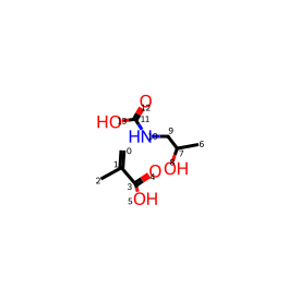 C=C(C)C(=O)O.CC(O)CNC(=O)O